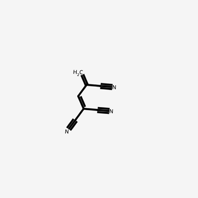 C=C(C#N)C=C(C#N)C#N